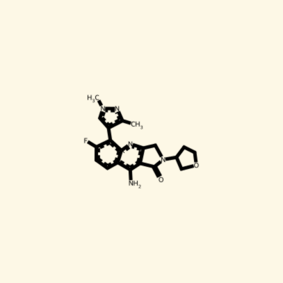 Cc1nn(C)cc1-c1c(F)ccc2c(N)c3c(nc12)CN(C1CCOC1)C3=O